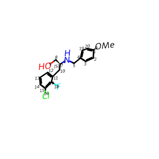 COc1ccc(CN[C@H](CO)Cc2cccc(Cl)c2F)cc1